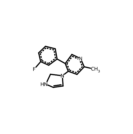 Cc1cc(N2C=CNC2)c(-c2cccc(F)c2)cn1